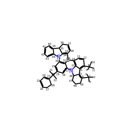 CC(C)(C)C1=C2c3c(C(C)(C)C)ccc4c3N(c3cc(C(C)(C)C5=CC=CCC5)cc5c3B4C3=C4C(CC=C3)c3ccccc3N45)C2CCC1